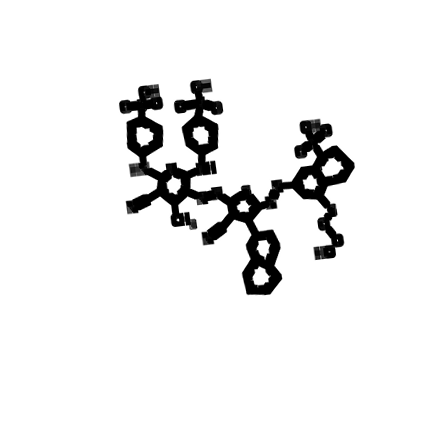 Cc1c(C#N)c(Nc2ccc(S(=O)(=O)O)cc2)nc(Nc2ccc(S(=O)(=O)O)cc2)c1/N=N/c1sc(/N=N/c2cc(SOOO)c3cccc(S(=O)(=O)O)c3c2)c(-c2ccc3ccccc3c2)c1C#N